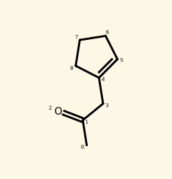 CC(=O)CC1=CCCC1